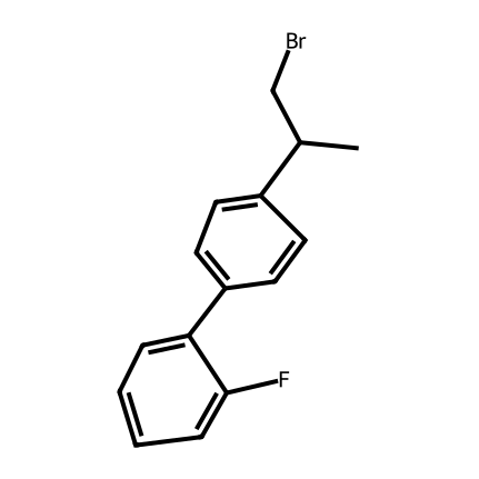 CC(CBr)c1ccc(-c2ccccc2F)cc1